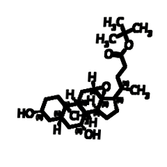 C[C@H](CCC(=O)OC(C)(C)C)[C@H]1CC[C@H]2[C@@H]3[C@H](O)C[C@@H]4C[C@H](O)CC[C@]4(C)[C@H]3C[C@@H]3O[C@@]312